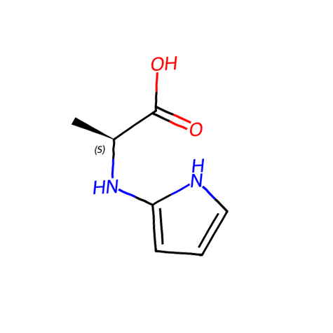 C[C@H](Nc1ccc[nH]1)C(=O)O